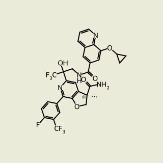 C[C@]1(C(N)=O)COc2c1cc(C(O)(CNC(=O)c1cc(OC3CC3)c3ncccc3c1)C(F)(F)F)nc2-c1ccc(F)c(C(F)(F)F)c1